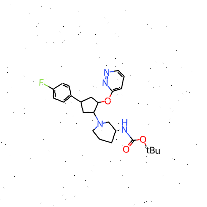 CC(C)(C)OC(=O)N[C@@H]1CCCN(C2CC(c3ccc(F)cc3)CC2Oc2cccnn2)C1